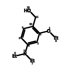 CCOc1cc(N(CC)CC)ccc1CO